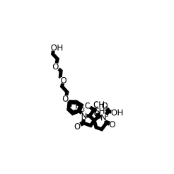 CC(C)(C)C1N(c2ccc(OCCOCCOCCO)cc2)C(=O)CC12CCC(=O)N(C(=O)O)C2=O